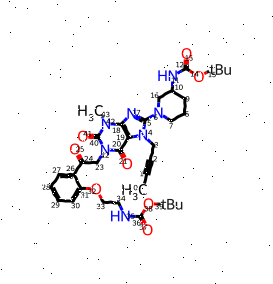 CC#CCn1c(N2CCCC(NC(=O)OC(C)(C)C)C2)nc2c1c(=O)n(CC(=O)c1ccccc1OCCNC(=O)OC(C)(C)C)c(=O)n2C